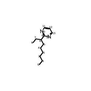 CCCCCCC(CC)c1ncccn1